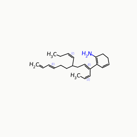 C=C/C=C/CCC(/C=C\CC)C/C=C(\C=C/C)C1=C(N)CCC=C1